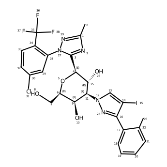 Cc1nc([C@@H]2O[C@H](CO)[C@H](O)[C@H](n3cc(I)c(-c4ccccc4C)n3)[C@H]2O)n(-c2cc(Cl)ccc2C(F)(F)F)n1